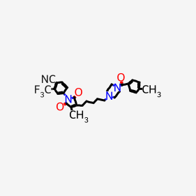 CC1=C(CCCCCN2CCN(C(=O)c3ccc(C)cc3)CC2)C(=O)N(c2ccc(C#N)c(C(F)(F)F)c2)C1=O